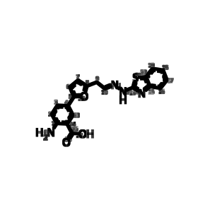 Nc1ccc(-c2ccc(CC=NNc3nc4ccccc4s3)o2)cc1C(=O)O